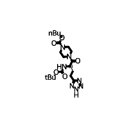 CCCCOC(=O)N1CCN(C(=O)[C@H](CCc2nn[nH]n2)NC(=O)OC(C)(C)C)CC1